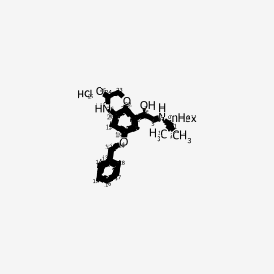 CCCCCCC(C)(C)NC[C@H](O)c1cc(OCc2ccccc2)cc2c1OCC(=O)N2.Cl